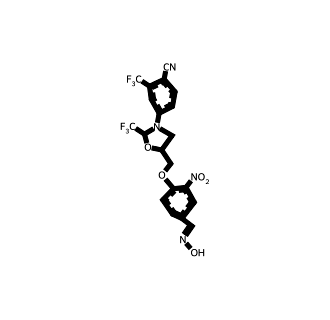 N#Cc1ccc(N2CC(COc3ccc(/C=N/O)cc3[N+](=O)[O-])OC2C(F)(F)F)cc1C(F)(F)F